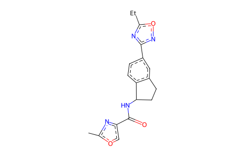 CCc1nc(-c2ccc3c(c2)CCC3NC(=O)c2coc(C)n2)no1